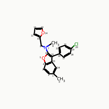 Cc1ccc2oc(N(C)Cc3ccco3)c(-c3ccc(Cl)cc3)c2c1